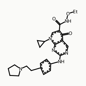 CCONC(=O)c1cn(C2CC2)c2nc(Nc3ccc(CCN4CCCC4)cc3)ncc2c1=O